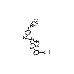 C#Cc1cccc(Nc2ncnc3nc(Nc4ccc(CNC[C@H]5CCCO5)cc4)sc23)c1